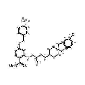 CNC(=O)c1ccc(OCc2ccc(OC)cc2)cc1OC[C@H](O)CNC1CCC2(CC1)Cc1cc(Cl)ccc1O2